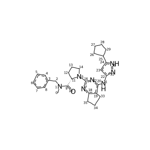 CN(Cc1ccccc1)C(=O)[C@@H]1CCCN1c1nc2c(c(Nc3cc(C4CCCC4)[nH]n3)n1)CCC2